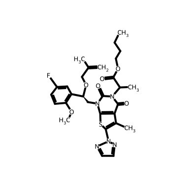 C=C(C)CO[C@@H](Cn1c(=O)n(C(C)C(=O)OCCCC)c(=O)c2c(C)c(-n3nccn3)sc21)c1cc(F)ccc1OC